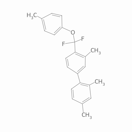 Cc1ccc(OC(F)(F)c2ccc(-c3ccc(C)cc3C)cc2C)cc1